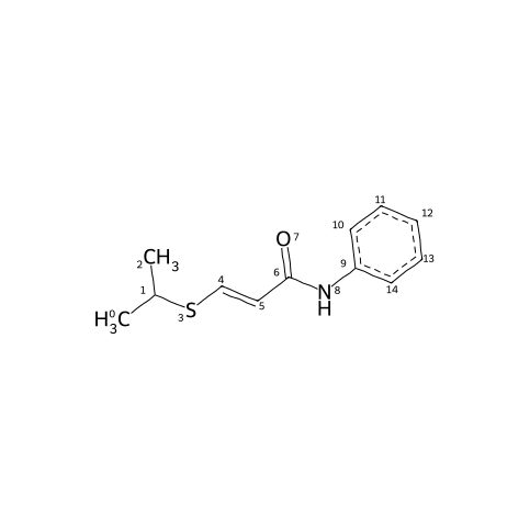 CC(C)SC=CC(=O)Nc1ccccc1